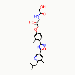 Cc1cc(OC[C@@H](O)CNC(=O)CO)ccc1-c1noc(-c2cnc(CC(C)C)c(C)c2)n1